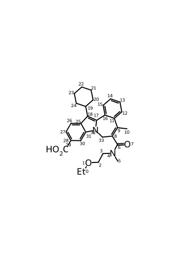 CCOCCN(C)C(=O)C1=C(C)c2ccccc2-c2c(C3CCCCC3)c3ccc(C(=O)O)cc3n2C1